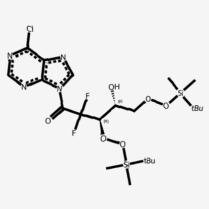 CC(C)(C)[Si](C)(C)OOC[C@@H](O)[C@@H](OO[Si](C)(C)C(C)(C)C)C(F)(F)C(=O)n1cnc2c(Cl)ncnc21